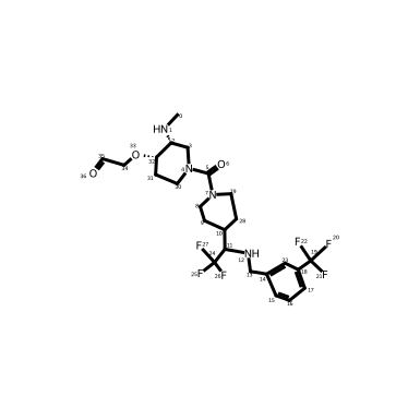 CN[C@@H]1CN(C(=O)N2CCC(C(NCc3cccc(C(F)(F)F)c3)C(F)(F)F)CC2)CC[C@@H]1OCC=O